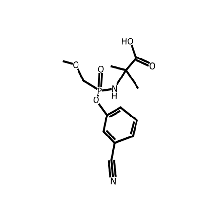 COCP(=O)(NC(C)(C)C(=O)O)Oc1cccc(C#N)c1